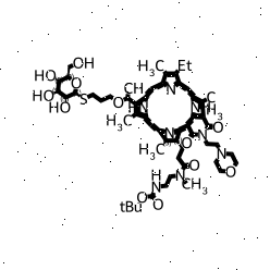 CCC1=C(C)c2cc3[nH]c(cc4nc(c5c6[nH]c(cc1n2)c(C)c6C(=O)N(CCN1CCOCC1)C5=O)[C@@H](CCC(=O)N(C)CCNC(=O)OC(C)(C)C)[C@@H]4C)c(C)c3C(C)OCCCS[C@@H]1O[C@H](CO)[C@@H](O)[C@H](O)[C@H]1O